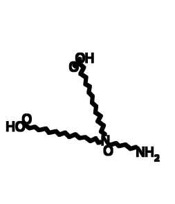 NCCCCCC(=O)N(CCCCCCCCCCCCCCCC(=O)O)CCCCCCCCCCCCCCCC(=O)O